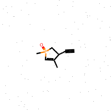 C#CC1CP(C)(=O)C=C1C